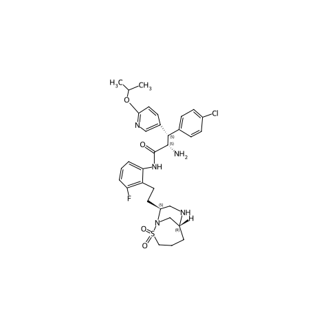 CC(C)Oc1ccc([C@H](c2ccc(Cl)cc2)[C@H](N)C(=O)Nc2cccc(F)c2CC[C@H]2CN[C@@H]3CCCS(=O)(=O)N2C3)cn1